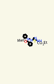 CCOC(=O)Nc1ncc(N2CN(c3ccccc3OC)C(=O)c3ccccc32)s1